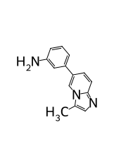 Cc1cnc2ccc(-c3cccc(N)c3)cn12